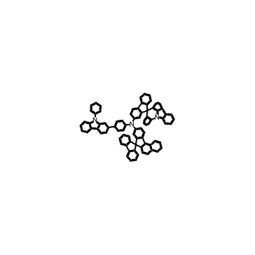 c1ccc(-n2c3ccccc3c3ccc(-c4ccc(N(c5ccc6c(c5)C5(c7ccccc7-c7ccccc75)c5ccc7ccccc7c5-6)c5ccc6c(c5)C5(c7ccccc7-6)c6ccccc6-n6c7ccccc7c7cccc5c76)cc4)cc32)cc1